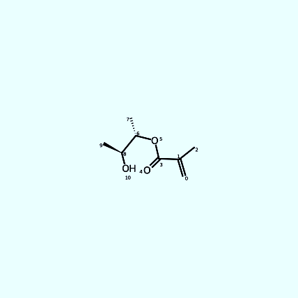 C=C(C)C(=O)O[C@@H](C)[C@H](C)O